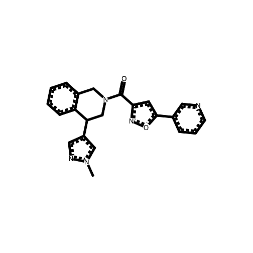 Cn1cc(C2CN(C(=O)c3cc(-c4cccnc4)on3)Cc3ccccc32)cn1